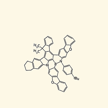 CC(C)(C)c1ccc(N2B3c4cc5c(cc4-n4c6cc7c(cc6c6c8c(c(c3c64)-c3cc4c(cc32)oc2ccccc24)-c2ccccc2C8(C)C)CCCC7)oc2ccccc25)cc1